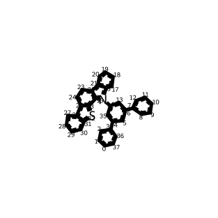 c1ccc(-c2cc(-c3ccccc3)cc(-n3c4ccccc4c4ccc5c6ccccc6sc5c43)c2)cc1